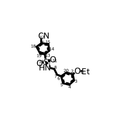 CCOc1cccc(CCNS(=O)(=O)c2ccc(C#N)cc2)c1